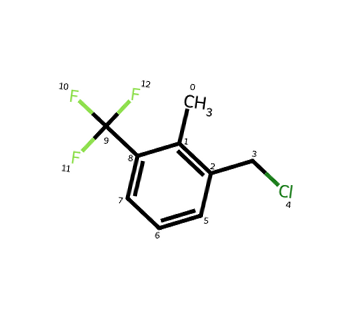 Cc1c(CCl)cccc1C(F)(F)F